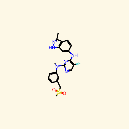 Cc1n[nH]c2cc(Nc3nc(N(C)c4cccc(CS(C)(=O)=O)c4)ncc3F)ccc12